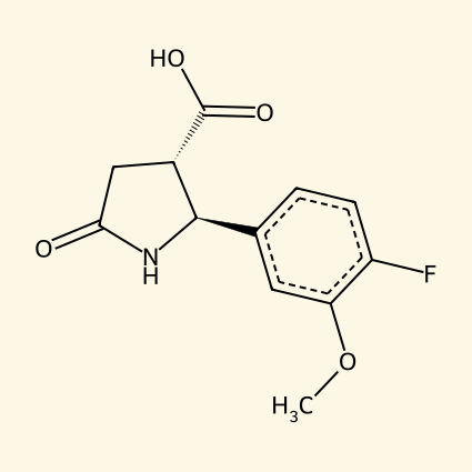 COc1cc([C@H]2NC(=O)C[C@@H]2C(=O)O)ccc1F